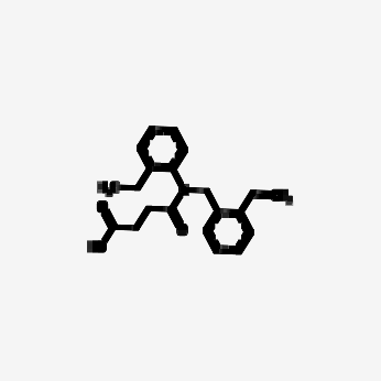 C=Cc1ccccc1CN(C(=O)CCC(=O)O)c1ccccc1CC